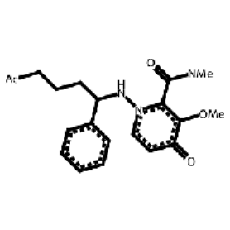 CNC(=O)c1c(OC)c(=O)ccn1NC(CCCC(C)=O)c1ccccc1